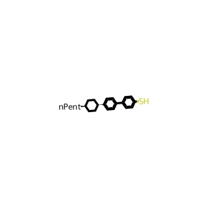 CCCCC[C@H]1CC[C@H](c2ccc(-c3ccc(S)cc3)cc2)CC1